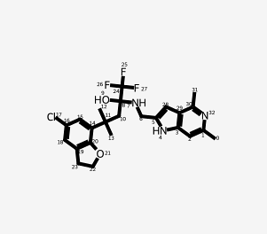 Cc1cc2[nH]c(CNC(O)(CC(C)(C)c3cc(Cl)cc4c3OCC4)C(F)(F)F)cc2c(C)n1